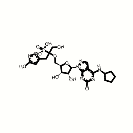 O=P(O)(O)C(CO)(Cc1cc(O)no1)OC[C@H]1O[C@@H](n2ncc3c(NC4CCCC4)nc(Cl)nc32)[C@H](O)[C@@H]1O